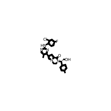 Cc1ccc([C@@H](CO)N2CCn3cc(-c4nc(Nc5ccc(F)cc5Cl)ncc4C)cc3C2=O)cc1